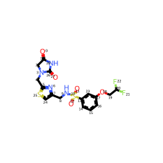 O=C1CN(Cc2nc(CNS(=O)(=O)c3cccc(OCC(F)F)c3)cs2)C(=O)N1